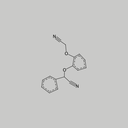 N#CCOc1ccccc1OC(C#N)c1ccccc1